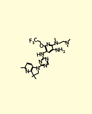 Cc1ccc2c(n1)C(C)(C)CN2c1ncnc(Nc2cc(N)c(N(C)CCN(C)C)nc2OCC(F)(F)F)n1